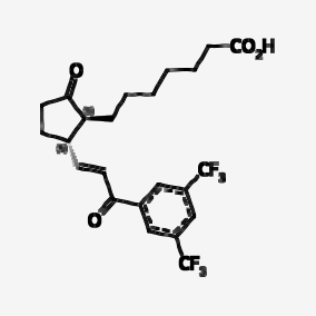 O=C(O)CCCCCC[C@@H]1C(=O)CC[C@H]1C=CC(=O)c1cc(C(F)(F)F)cc(C(F)(F)F)c1